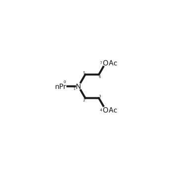 CCCN(CCOC(C)=O)CCOC(C)=O